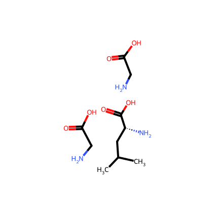 CC(C)C[C@@H](N)C(=O)O.NCC(=O)O.NCC(=O)O